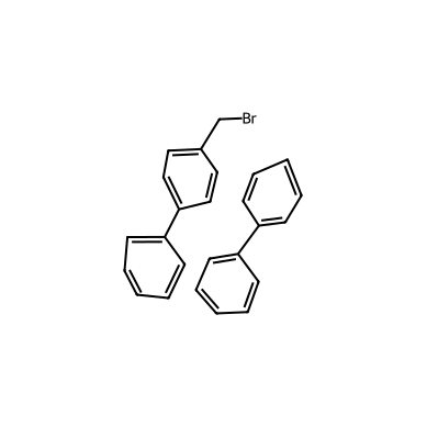 BrCc1ccc(-c2ccccc2)cc1.c1ccc(-c2ccccc2)cc1